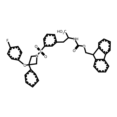 O=C(NC(Cc1cccc(S(=O)(=O)N2CC(Oc3ccc(F)cc3)(c3ccccc3)C2)c1)C(=O)O)OCC1c2ccccc2-c2ccccc21